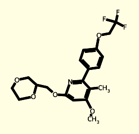 COc1cc(OCC2COCCO2)nc(-c2ccc(OCC(F)(F)F)cc2)c1C